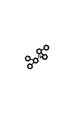 c1ccc(-c2ccc(-n3c4ccccc4c4c(-c5ccccc5)cccc43)cc2-c2ccccc2)cc1